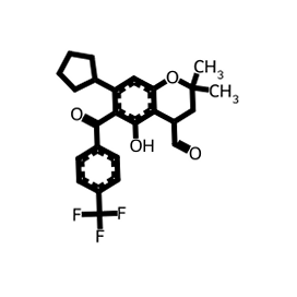 CC1(C)CC(C=O)c2c(cc(C3CCCC3)c(C(=O)c3ccc(C(F)(F)F)cc3)c2O)O1